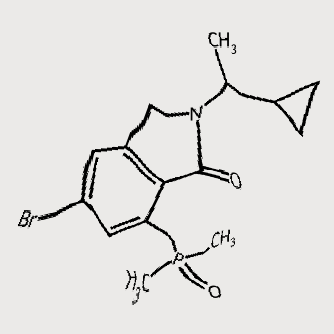 CC(C1CC1)N1Cc2cc(Br)cc(P(C)(C)=O)c2C1=O